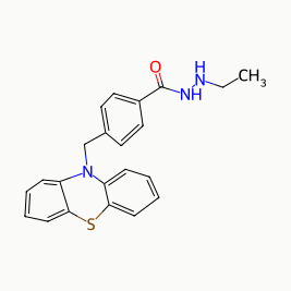 CCNNC(=O)c1ccc(CN2c3ccccc3Sc3ccccc32)cc1